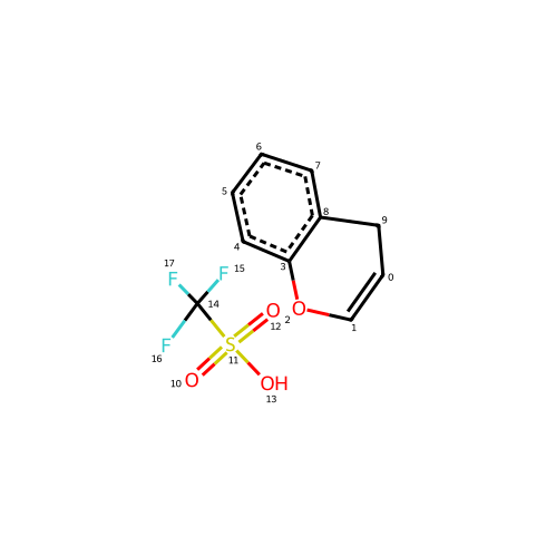 C1=COc2ccccc2C1.O=S(=O)(O)C(F)(F)F